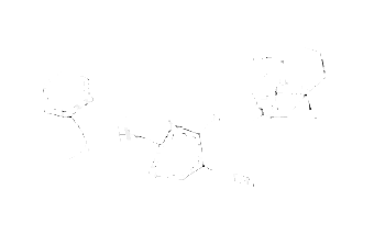 CCSc1ncccc1CNc1ncc(C#N)c(NCC2C[C@H]3CCC[C@@H](C2)[C@@H]3N)n1